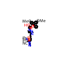 COc1ccc(C(OC[C@H]2O[C@H](n3ccc4c(CCC(CC#CN=CN(C)C)OP(OCCC#N)N(C(C)C)C(C)C)ncnc43)C[C@@H]2O)(c2ccccc2)c2ccc(OC)cc2)cc1